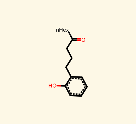 CCCCCCC(=O)CCCc1ccccc1O